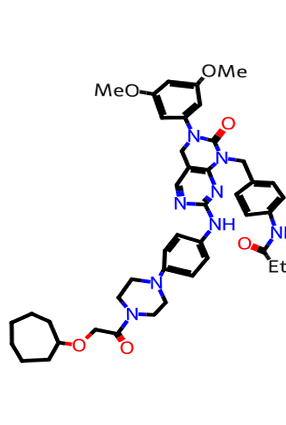 CCC(=O)Nc1ccc(CN2C(=O)N(c3cc(OC)cc(OC)c3)Cc3cnc(Nc4ccc(N5CCN(C(=O)COC6CCCCCC6)CC5)cc4)nc32)cc1